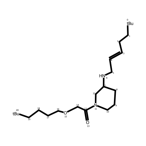 CC(C)(C)CC/C=C/CNC1CCCN(C(=O)COCCCCC(C)(C)C)C1